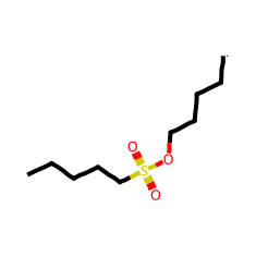 [CH2]CCCCOS(=O)(=O)CCCCC